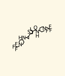 Cc1sc(C2CC2NC2CCN(CC(F)(F)F)CC2)cc1C(=O)NC1CCN(CC(F)(F)F)CC1